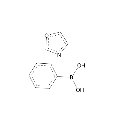 OB(O)c1ccccc1.c1cocn1